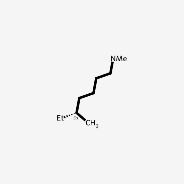 CC[C@@H](C)CCCCNC